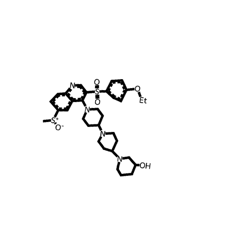 CCOc1ccc(S(=O)(=O)c2cnc3ccc([S+](C)[O-])cc3c2N2CCC(N3CCC(N4CCCC(O)C4)CC3)CC2)cc1